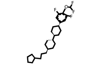 Fc1cc([C@H]2CC[C@H]([C@H]3CC[C@H](CCCC4CCCC4)CC3)CC2)cc(F)c1OC(F)F